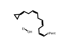 CCCCC/C=C\C/C=C\C/C=C\CC=C1CC1.CCO